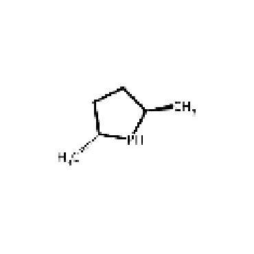 C[C@@H]1CC[C@@H](C)P1